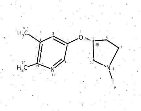 Cc1cc(O[C@@H]2CCN(I)C2)cnc1C